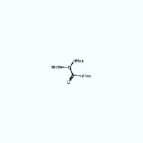 CCCCCCC(=O)N(CCCCCC)CCCCCC